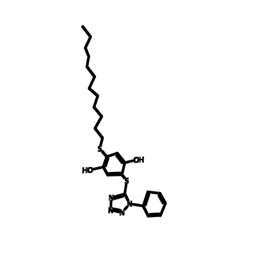 CCCCCCCCCCCCSc1cc(O)c(Sc2nnnn2-c2ccccc2)cc1O